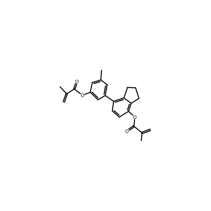 C=C(C)C(=O)Oc1cc(C)cc(-c2ccc(OC(=O)C(=C)C)c3c2CCC3)c1